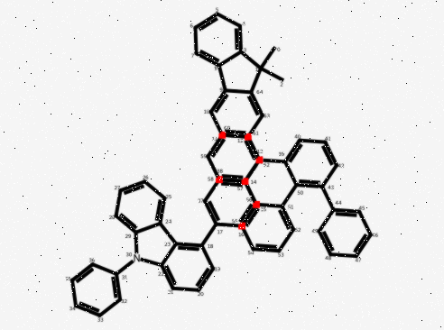 CC1(C)c2ccccc2-c2ccc(N(c3ccc(-c4cccc5c4c4ccccc4n5-c4ccccc4)cc3)c3cccc(-c4ccccc4)c3-c3ccccc3-c3ccccc3)cc21